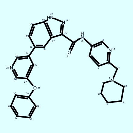 O=C(Nc1ccc(CN2CCCCC2)nc1)c1n[nH]c2ccc(-c3cncc(Oc4ccccc4)c3)cc12